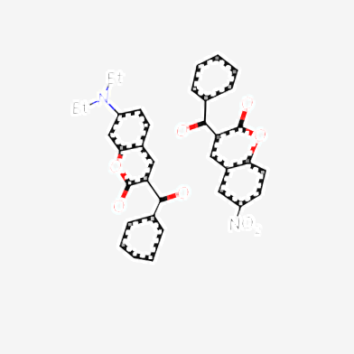 CCN(CC)c1ccc2cc(C(=O)c3ccccc3)c(=O)oc2c1.O=C(c1ccccc1)c1cc2cc([N+](=O)[O-])ccc2oc1=O